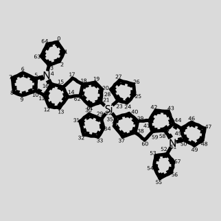 c1ccc(-n2c3ccccc3c3ccc4c(c32)Cc2ccc([Si](c3ccccc3)(c3ccccc3)c3ccc5c(c3)-c3ccc6c7ccccc7n(-c7ccccc7)c6c3C5)cc2-4)cc1